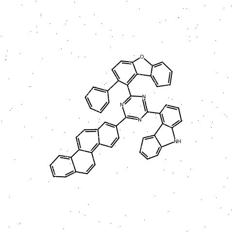 c1ccc(-c2ccc3oc4ccccc4c3c2-c2nc(-c3ccc4c(ccc5c6ccccc6ccc45)c3)nc(-c3cccc4[nH]c5ccccc5c34)n2)cc1